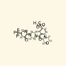 CS(=O)(=O)c1ccc(N2CCOCC2)c(C(=O)N2CCN(c3ncc(C(F)(F)F)cc3Cl)CC2)c1